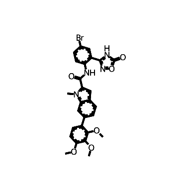 COc1ccc(-c2ccc3cc(C(=O)Nc4ccc(Br)cc4-c4noc(=O)[nH]4)n(C)c3c2)c(OC)c1OC